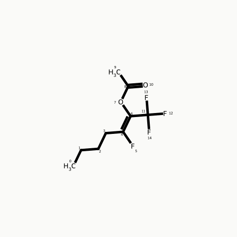 CCCCC(F)=C(OC(C)=O)C(F)(F)F